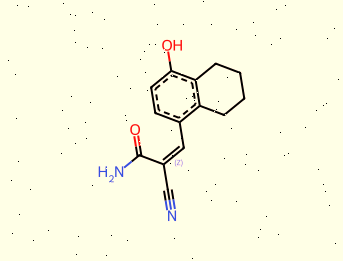 N#C/C(=C/c1ccc(O)c2c1CCCC2)C(N)=O